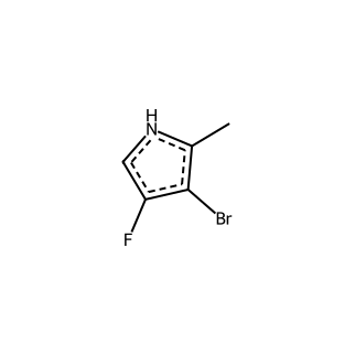 Cc1[nH]cc(F)c1Br